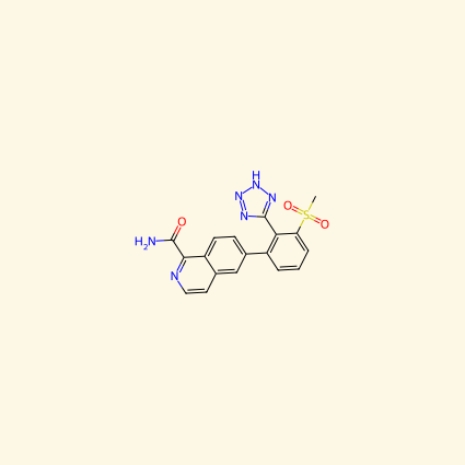 CS(=O)(=O)c1cccc(-c2ccc3c(C(N)=O)nccc3c2)c1-c1nn[nH]n1